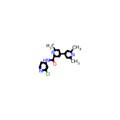 Cc1cc(-c2cc(C)nc(C(=O)Nc3ccnc(Cl)c3)c2)cc(C)n1